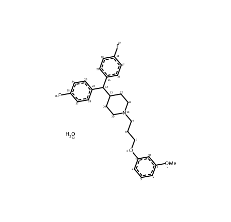 COc1cccc(OCCCN2CCC(C(c3ccc(F)cc3)c3ccc(F)cc3)CC2)c1.O